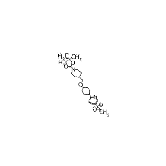 CC(C)(C)OC(=O)N1CCC(CO[C@H]2CC[C@H](c3ccc(S(C)(=O)=O)cn3)CC2)CC1